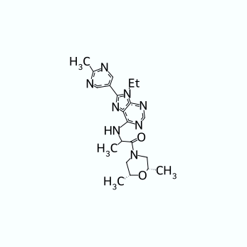 CCn1c(-c2cnc(C)nc2)nc2c(NC(C)C(=O)N3C[C@@H](C)O[C@@H](C)C3)ncnc21